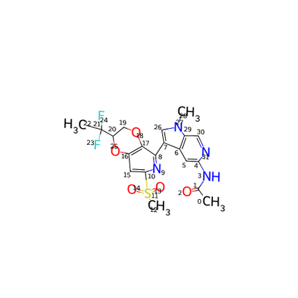 CC(=O)Nc1cc2c(-c3nc(S(C)(=O)=O)cc4c3OCC(C(C)(F)F)O4)cn(C)c2cn1